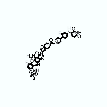 CCN(C)S(=O)(=O)Nc1ccc(F)c(Oc2ccc3ncn(C4COC5(CCN(C(=O)CN6CCC(c7ccc(NC8CCC(=O)NC8=O)cc7F)CC6)CC5)C4)c(=O)c3c2N)c1C#N